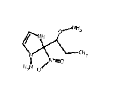 CCC(ON)C1([N+](=O)[O-])NC=CN1N